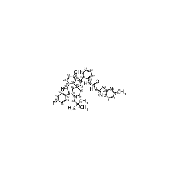 Cc1ccc2nc(NC(=O)Nc3ccccc3N3CC4(CCN(CC(C)(C)C)CC4)c4c(-c5nc6cc(F)ccc6s5)ccc(O)c43)sc2n1